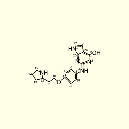 Oc1nc(Nc2ccc(OCCC3CCCN3)cc2)nc2[nH]ccc12